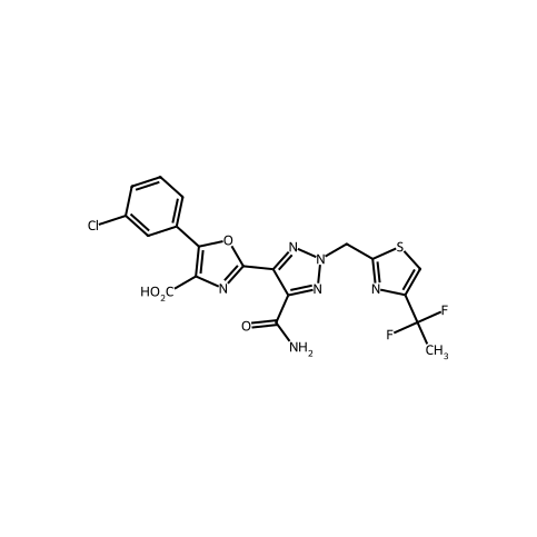 CC(F)(F)c1csc(Cn2nc(C(N)=O)c(-c3nc(C(=O)O)c(-c4cccc(Cl)c4)o3)n2)n1